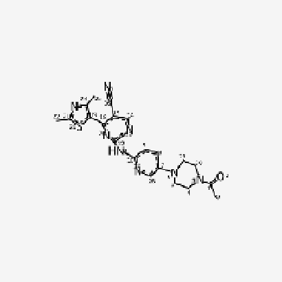 CC(=O)N1CCN(c2ccc(Nc3ncc(C#N)c(-c4sc(C)nc4C)n3)nc2)CC1